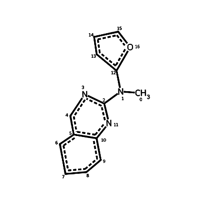 CN(c1ncc2ccccc2n1)c1ccco1